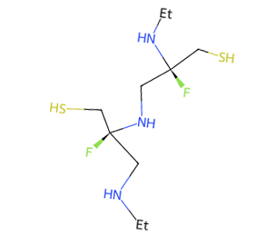 CCNC[C@](F)(CS)NC[C@@](F)(CS)NCC